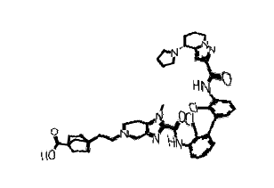 Cn1c(C(=O)Nc2cccc(-c3cccc(NC(=O)c4cc5n(n4)CCC[C@H]5N4CCCC4)c3Cl)c2Cl)nc2c1CCN(CCC13CCC(C(=O)O)(CC1)C3)C2